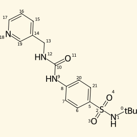 CC(C)(C)NS(=O)(=O)c1ccc(NC(=O)NCc2cccnc2)cc1